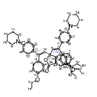 CCOc1ccc(/C(=C\C2(/C=C(\c3ccc(OCC)cc3)c3ccc(N4CCCCC4)cc3)OC(=O)c3cc(N(CC)CC)ccc32)c2ccc(N3CCCCC3)cc2)cc1